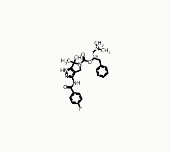 CN(C)C[C@H](Cc1ccccc1)OC(=O)N1Cc2c(NC(=O)c3ccc(F)cc3)n[nH]c2C1(C)C